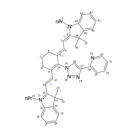 CCCN1/C(=C/C=C2\CCCC(/C=C/C3=[N+](CCC)c4ccccc4C3(C)C)=C2n2cc(-c3ccccn3)nn2)C(C)(C)c2ccccc21